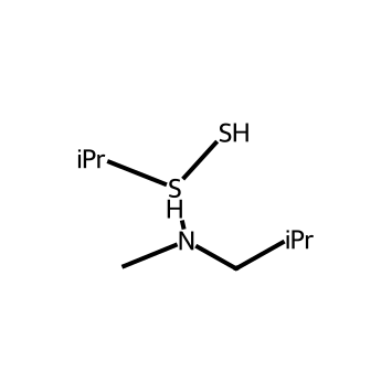 CC(C)CN(C)[SH](S)C(C)C